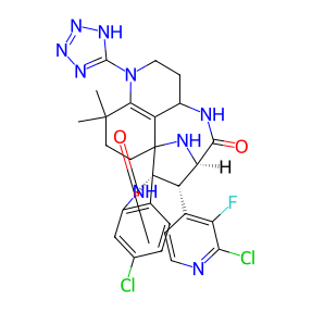 CC1(C)CCC23N[C@@H](C(=O)NC4CCN(c5nnn[nH]5)C1=C42)[C@H](c1ccnc(Cl)c1F)[C@]31C(=O)Nc2cc(Cl)ccc21